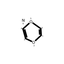 C1=COC=CO1.[N]